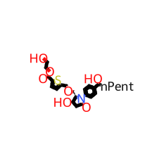 CCCCCC(O)c1ccc(N2C(=O)C[C@H](O)[C@@H]2COCc2ccc(C(=O)OCCO)s2)cc1